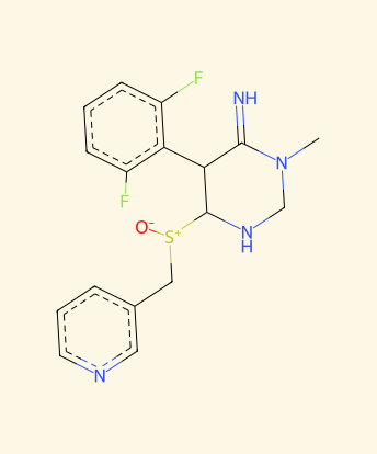 CN1CNC([S+]([O-])Cc2cccnc2)C(c2c(F)cccc2F)C1=N